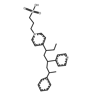 CCC(CC(CC(C)c1ccccc1)c1ccncc1)c1cc[n+](CCCS(=O)(=O)O)cc1